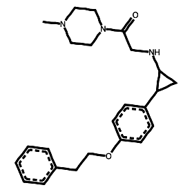 CN1CCN(C(=O)CNC2CC2c2ccc(OCCc3ccccc3)cc2)CC1